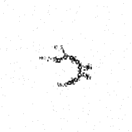 C=C(SCCS(=O)(=O)O)c1cc(C(C)(C)c2ccc(Oc3ccc(S(=O)(=O)c4ccc(Oc5ccc(C(C)(C)c6ccc(Oc7ccc(S(=O)(=O)c8ccc(OC)cc8)cc7)c(CCC[Si](CC)(CC)CC)c6)cc5CCC[Si](CC)(CC)CC)cc4)cc3)c(CSCCCS(=O)(=O)O)c2)ccc1C